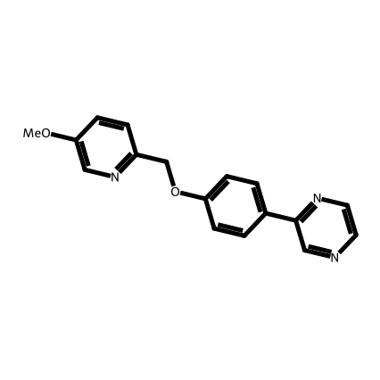 COc1ccc(COc2ccc(-c3cnccn3)cc2)nc1